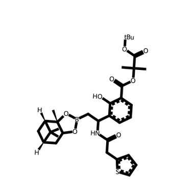 CC(C)(C)OC(=O)C(C)(C)OC(=O)c1cccc(C(CB2OC3C[C@@H]4C[C@@H](C4(C)C)[C@]3(C)O2)NC(=O)Cc2cccs2)c1O